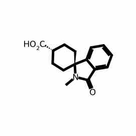 CN1C(=O)c2ccccc2[C@]12CC[C@@H](C(=O)O)CC2